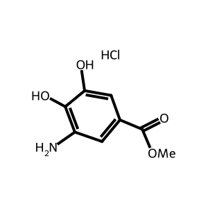 COC(=O)c1cc(N)c(O)c(O)c1.Cl